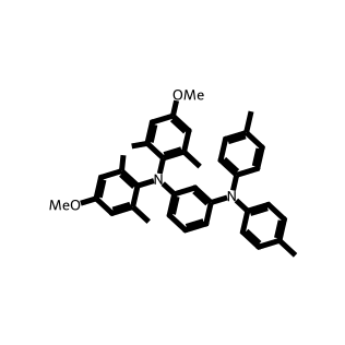 COc1cc(C)c(N(c2cccc(N(c3ccc(C)cc3)c3ccc(C)cc3)c2)c2c(C)cc(OC)cc2C)c(C)c1